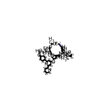 CC[C@@H]1O[C@H](C)CC/C=C\[C@@H]2CC2(C(=O)NS(=O)(=O)C2(C)CC2)NC(=O)[C@@H]2C[C@@H](Oc3cc(-c4ccc(OC(C)C)cc4)nc(-c4ccccn4)c3)CN2C(=O)[C@H]1NC(=O)O